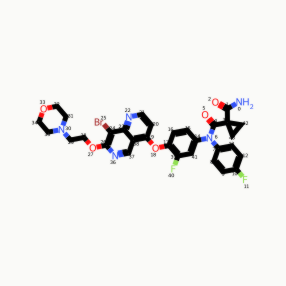 NC(=O)C1(C(=O)N(c2ccc(F)cc2)c2ccc(Oc3ccnc4c(Br)c(OCCN5CCOCC5)ncc34)c(F)c2)CC1